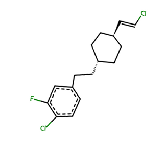 Fc1cc(CC[C@H]2CC[C@H](/C=C/Cl)CC2)ccc1Cl